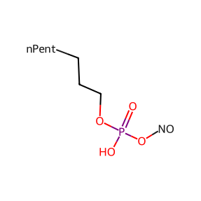 CCCCCCCCOP(=O)(O)ON=O